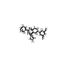 Fc1cc(F)cc(-c2ccc3nc(-c4cccnc4)nc(N4CCC4)c3c2)c1